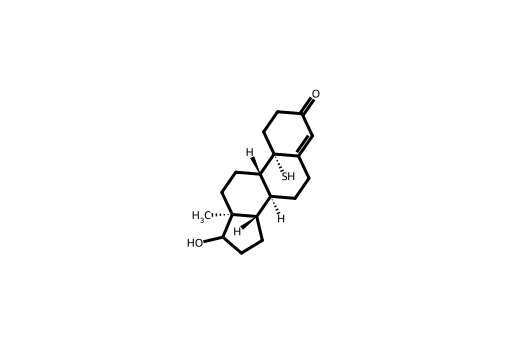 C[C@]12CC[C@H]3[C@@H](CCC4=CC(=O)CC[C@@]43S)[C@@H]1CCC2O